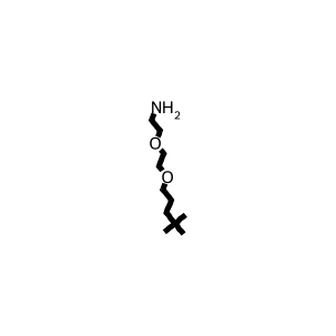 CC(C)(C)CCCOCCOCCN